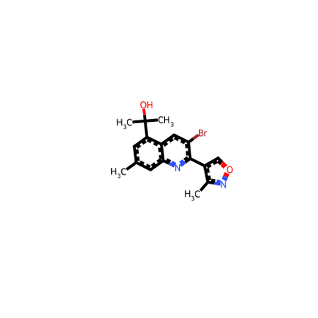 Cc1cc(C(C)(C)O)c2cc(Br)c(-c3conc3C)nc2c1